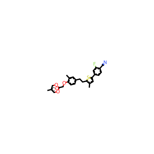 Cc1cc(CCc2sc(-c3ccc(C#N)c(F)c3)cc2C)ccc1OCC12OCC(C)(CO1)CO2